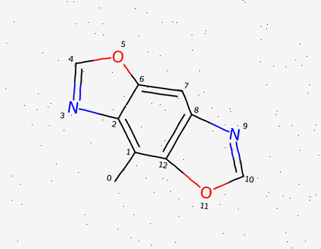 Cc1c2ncoc2cc2ncoc12